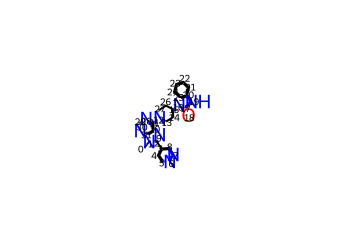 Cn1c(-c2ccnnc2)nc2c(N3CCC(n4c(=O)[nH]c5ccccc54)CC3)ncnc21